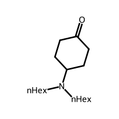 CCCCCCN(CCCCCC)C1CCC(=O)CC1